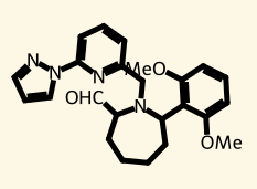 COc1cccc(OC)c1C1CCCCC(C=O)N1Cc1cccc(-n2cccn2)n1